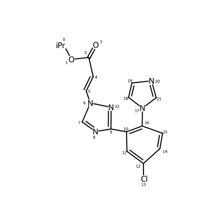 CC(C)OC(=O)C=Cn1cnc(-c2cc(Cl)ccc2-n2ccnc2)n1